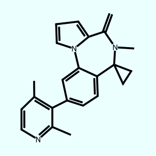 C=C1c2cccn2-c2cc(-c3c(C)ccnc3C)ccc2C2(CC2)N1C